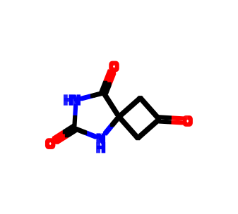 O=C1CC2(C1)NC(=O)NC2=O